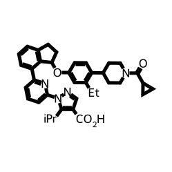 CCc1cc(OC2CCc3cccc(-c4cccc(-n5ncc(C(=O)O)c5C(C)C)n4)c32)ccc1C1CCN(C(=O)C2CC2)CC1